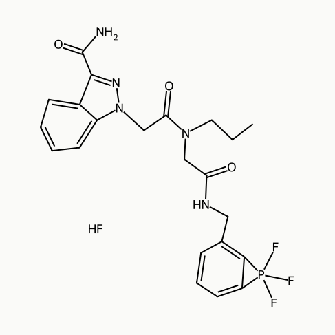 CCCN(CC(=O)NCc1cccc2c1P2(F)(F)F)C(=O)Cn1nc(C(N)=O)c2ccccc21.F